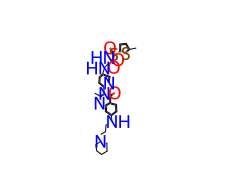 Cc1ccc(S(=O)(=O)NC(=O)Nc2ccc(-n3c(C)nc4cc(NCCCN5CCCCC5)ccc4c3=O)nc2)s1